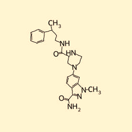 CC(CCNC(=O)C1CN(c2ccc3c(C(N)=O)nn(C)c3c2)CCN1)c1ccccc1